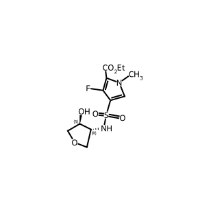 CCOC(=O)c1c(F)c(S(=O)(=O)N[C@@H]2COC[C@H]2O)cn1C